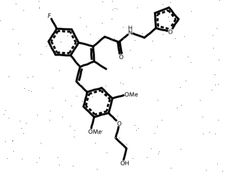 COc1cc(C=C2C(C)=C(CC(=O)NCc3ccco3)c3cc(F)ccc32)cc(OC)c1OCCO